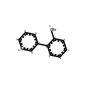 CC(C)(C)c1ccccc1-c1cccnc1